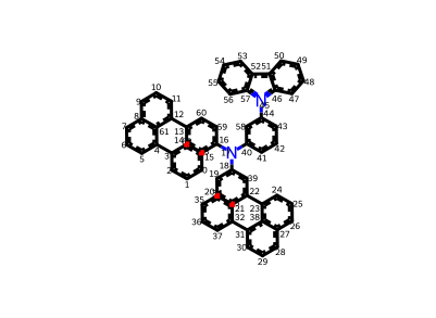 c1ccc(-c2cccc3cccc(-c4ccc(N(c5cccc(-c6cccc7cccc(-c8ccccc8)c67)c5)c5cccc(-n6c7ccccc7c7ccccc76)c5)cc4)c23)cc1